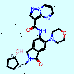 O=C(Nc1cc2c(cc1N1CCOCC1)C(=O)N(C[C@@H]1CCC[C@@H]1O)C2)c1cnn2cccnc12